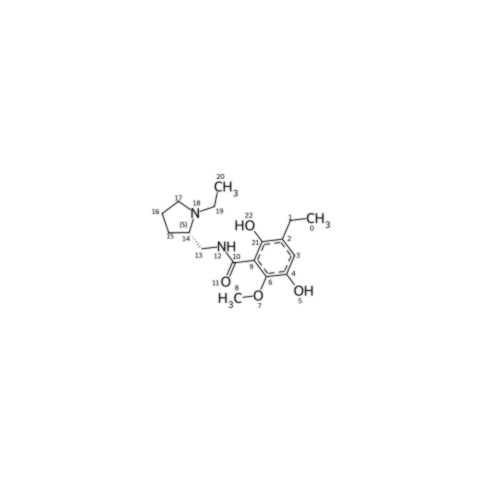 CCc1cc(O)c(OC)c(C(=O)NC[C@@H]2CCCN2CC)c1O